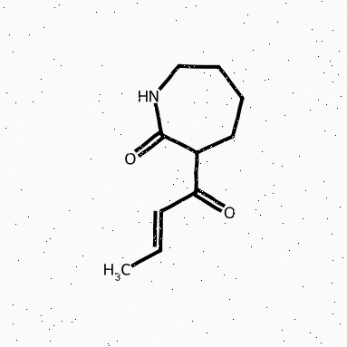 CC=CC(=O)C1CCCCNC1=O